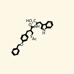 CC(=O)SCC(Cc1ccc(OCc2ccccc2)cc1)C(=O)N[C@@H](Cc1c[nH]c2ccccc12)C(=O)O